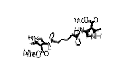 COC(=O)c1c(NC(=O)CCCCC(=O)Nc2c[nH]c(C)c2C(=O)OC)c[nH]c1C